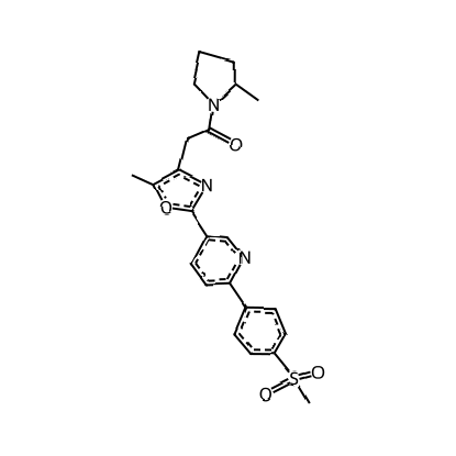 Cc1oc(-c2ccc(-c3ccc(S(C)(=O)=O)cc3)nc2)nc1CC(=O)N1CCCC1C